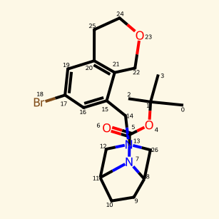 CC(C)(C)OC(=O)N1C2CCC1CN(Cc1cc(Br)cc3c1COCC3)C2